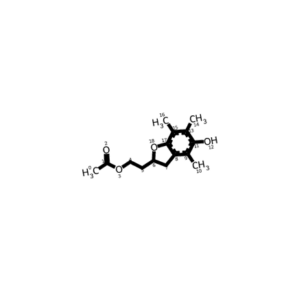 CC(=O)OCCC1Cc2c(C)c(O)c(C)c(C)c2O1